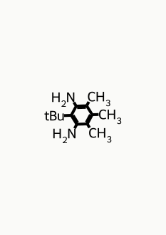 Cc1c(C)c(N)c(C(C)(C)C)c(N)c1C